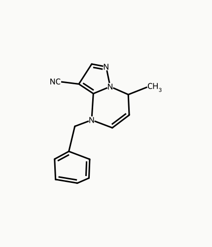 CC1C=CN(Cc2ccccc2)c2c(C#N)cnn21